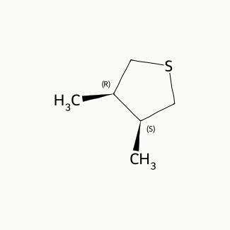 C[C@@H]1CSC[C@@H]1C